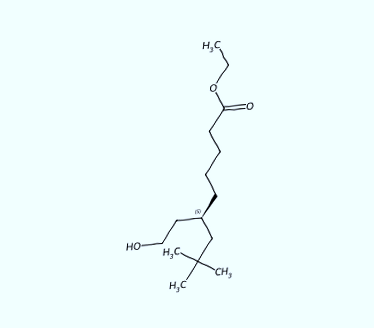 CCOC(=O)CCCC[C@H](CCO)CC(C)(C)C